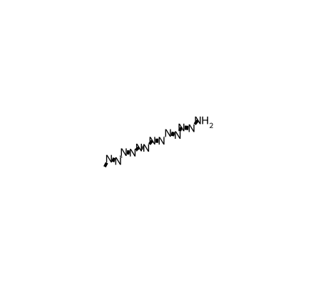 CN=NN=NN=NN=NN=NN=NN